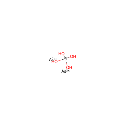 O[Si](O)(O)O.[As+3].[As+3]